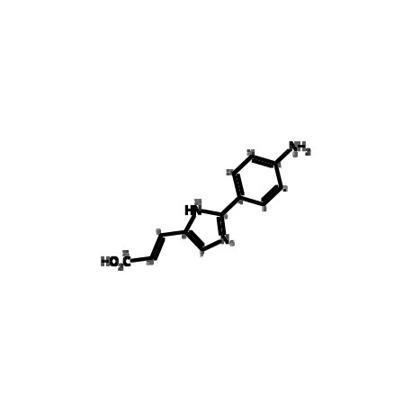 Nc1ccc(-c2ncc(/C=C/C(=O)O)[nH]2)cc1